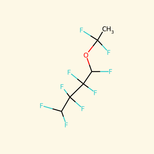 CC(F)(F)OC(F)C(F)(F)C(F)(F)C(F)F